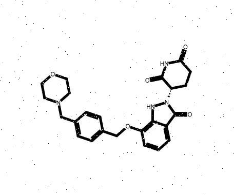 O=C1CC[C@H](n2[nH]c3c(OCc4ccc(CN5CCOCC5)cc4)cccc3c2=O)C(=O)N1